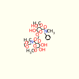 CO[C@@H]1OC(C(=O)N(C)CC2OCCO2)[C@@H](OCCO[C@@H]2OC(C(=O)N(C)Cc3ccccc3)[C@@H](OC)[C@H](O)[C@@H]2O)[C@H](O)[C@@H]1O